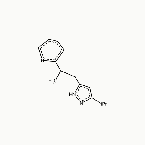 CC(C)c1cc(CC(C)c2ccccn2)[nH]n1